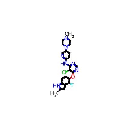 Cc1cc2c(F)c(Oc3ncnc(Nc4ccc(N5CCN(C)CC5)cn4)c3Cl)ccc2[nH]1